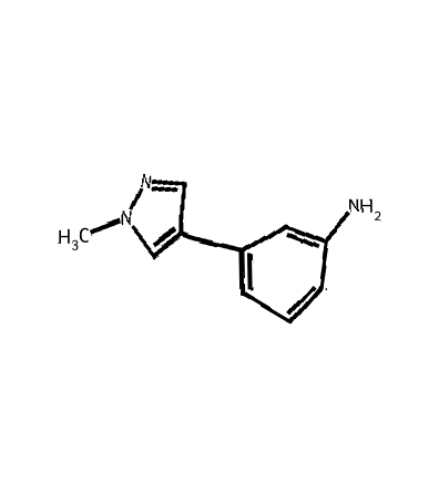 Cn1cc(-c2cc[c]c(N)c2)cn1